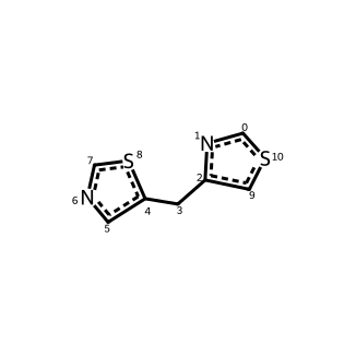 c1nc(Cc2cncs2)cs1